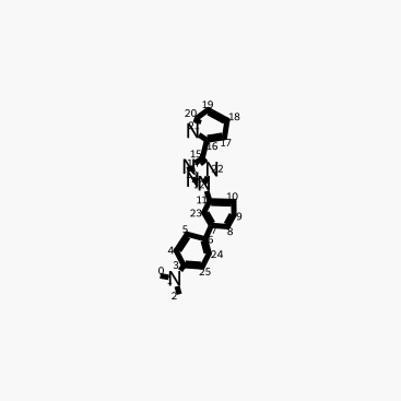 CN(C)c1ccc(-c2cccc(-n3nnc(-c4ccccn4)n3)c2)cc1